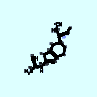 C/N=C(\NC#N)N1CCc2nc(NC(=N)N)sc2C1